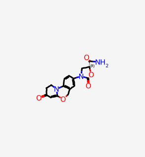 NC(=O)[C@H]1CN(c2ccc3c(c2)COC2=CC(=O)CCN23)C(=O)O1